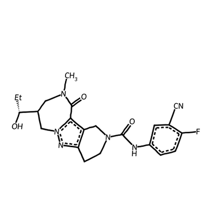 CC[C@@H](O)C1CN(C)C(=O)c2c3c(nn2C1)CCN(C(=O)Nc1ccc(F)c(C#N)c1)C3